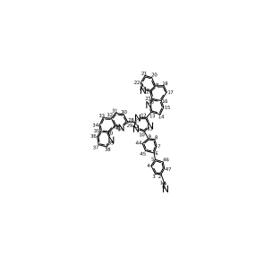 N#Cc1ccc(-c2ccc(-c3nc(-c4ccc5ccc6cccnc6c5n4)nc(-c4ccc5ccc6cccnc6c5n4)n3)cc2)cc1